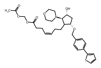 CC(=O)OCOC(=O)CC/C=C\CCC1[C@@H](OCc2ccc(-c3cccs3)cc2)C[C@@H](O)[C@@H]1N1CCOCC1